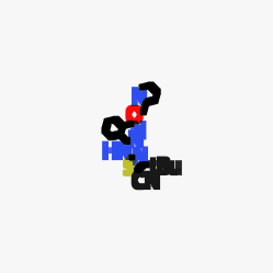 CC(C)(C)c1nc(Nc2nnc(OCc3ccccn3)c3ccccc23)sc1C#N